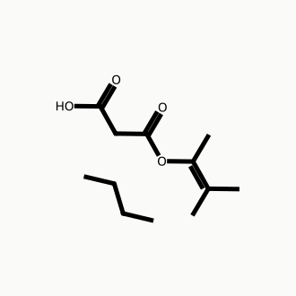 CC(C)=C(C)OC(=O)CC(=O)O.CCCC